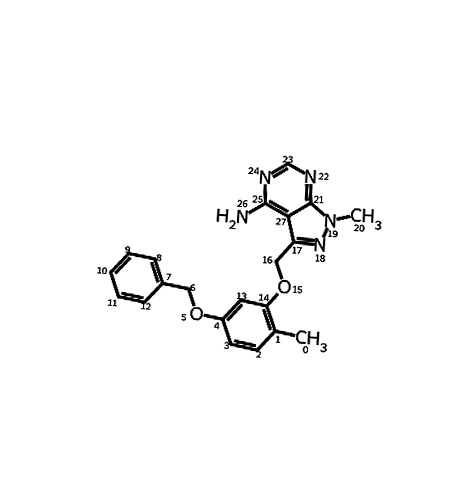 Cc1ccc(OCc2ccccc2)cc1OCc1nn(C)c2ncnc(N)c12